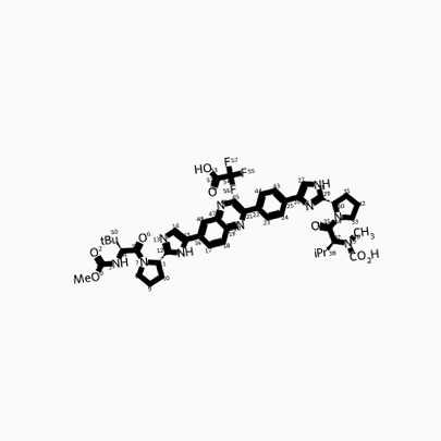 COC(=O)N[C@@H](C(=O)N1CCC[C@H]1c1ncc(-c2ccc3nc(-c4ccc(-c5c[nH]c([C@@H]6CCCN6C(=O)[C@H](C(C)C)N(C)C(=O)O)n5)cc4)cnc3c2)[nH]1)C(C)(C)C.O=C(O)C(F)(F)F